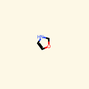 C1=COCN1